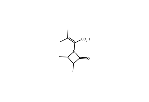 CC(C)=C(C(=O)O)N1C(=O)C(C)C1C